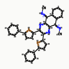 N#C/N=C1/c2ccccc2/C(=N\C#N)c2nc(-c3ccc(-c4ccccc4)s3)c(-c3ccc(-c4ccccc4)s3)nc21